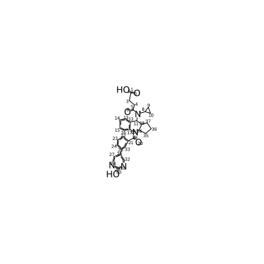 O=C(O)CCC(=O)N(C1CC1)C1c2ccccc2N(C(=O)c2cccc(-c3cnc(O)nc3)c2)C2CCCC21